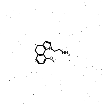 COc1cccc2c1-c1c(ccn1CCN)CC2